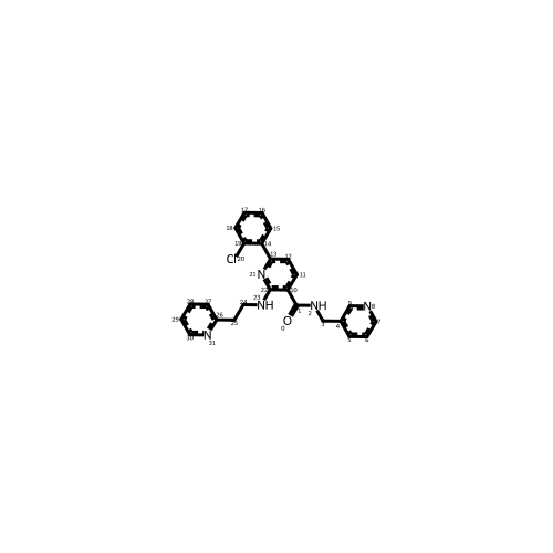 O=C(NCc1cccnc1)c1ccc(-c2ccccc2Cl)nc1NCCc1ccccn1